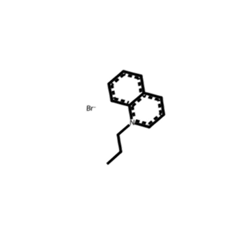 CCC[n+]1cccc2ccccc21.[Br-]